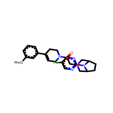 COc1cccc(C2=CCN(C(=O)CN3CC4CCC(C3)N4c3ncc(F)cn3)CC2)c1